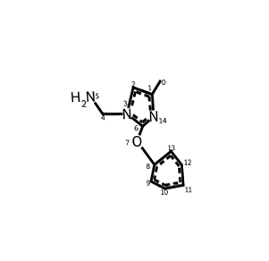 Cc1cn(CN)c(Oc2ccccc2)n1